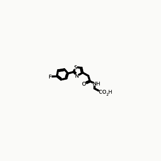 O=C(O)CNC(=O)Cc1csc(-c2ccc(F)cc2)n1